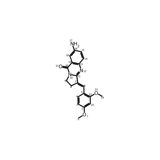 COc1ccc(/C=C2\CCn3c2nc2ccc(N)cc2c3=O)c(OC)c1